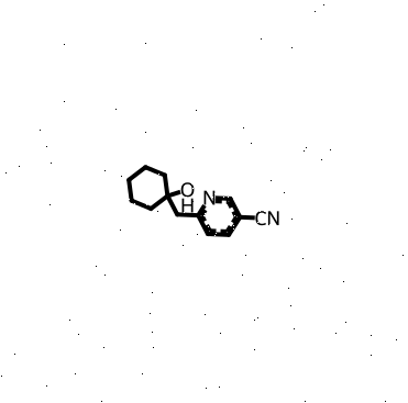 N#Cc1ccc(CC2(O)CCCCC2)nc1